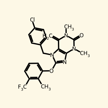 C=C1c2c(nc(Oc3cccc(C(F)(F)F)c3C)n2Cc2ccc(Cl)cc2)N(C)C(=O)N1C